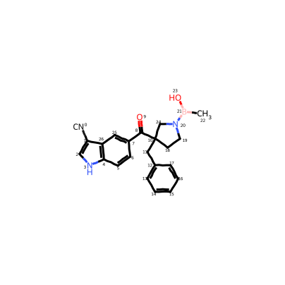 [C-]#[N+]c1c[nH]c2ccc(C(=O)C3(Cc4ccccc4)CCN(B(C)O)C3)cc12